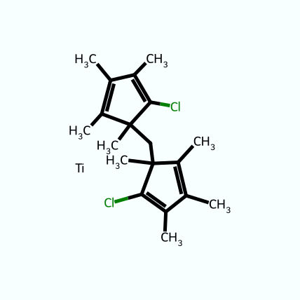 CC1=C(C)C(C)(CC2(C)C(C)=C(C)C(C)=C2Cl)C(Cl)=C1C.[Ti]